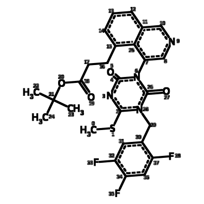 CSc1nc(=O)n(-c2cncc3cccc(CCC(=O)OC(C)(C)C)c23)c(=O)n1Cc1cc(F)c(F)cc1F